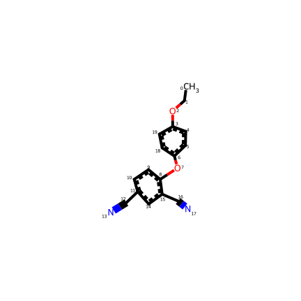 CCOc1ccc(Oc2ccc(C#N)cc2C#N)cc1